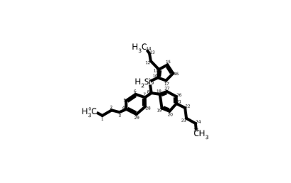 CCCCc1ccc(C([SiH2]C2=C(CCC)C=CC2)c2ccc(CCCC)cc2)cc1